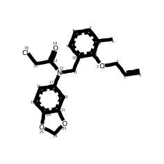 C=CCOc1c(C)cccc1CN(C(=O)CCl)c1ccc2c(c1)OCO2